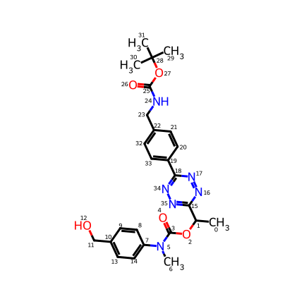 CC(OC(=O)N(C)c1ccc(CO)cc1)c1nnc(-c2ccc(CNC(=O)OC(C)(C)C)cc2)nn1